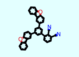 N#Cc1cccc(-c2cc(-c3ccc4oc5ccccc5c4c3)cc(-c3ccc4oc5ccccc5c4c3)c2)c1C#N